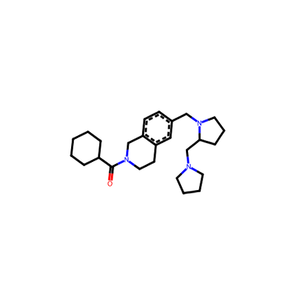 O=C(C1CCCCC1)N1CCc2cc(CN3CCCC3CN3CCCC3)ccc2C1